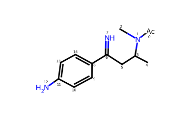 CC(=O)N(C)C(C)CC(=N)c1ccc(N)cc1